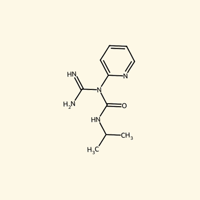 CC(C)NC(=O)N(C(=N)N)c1ccccn1